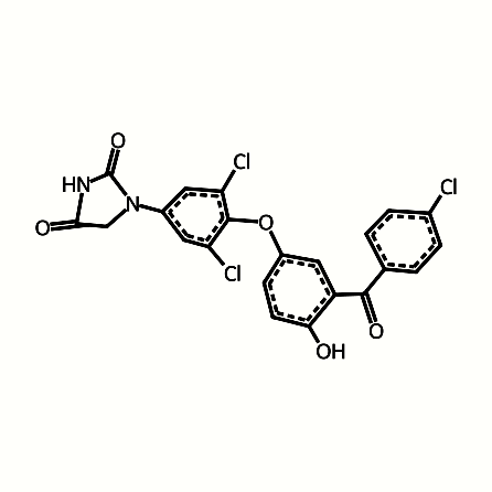 O=C1CN(c2cc(Cl)c(Oc3ccc(O)c(C(=O)c4ccc(Cl)cc4)c3)c(Cl)c2)C(=O)N1